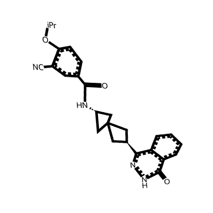 CC(C)Oc1ccc(C(=O)N[C@H]2CC3(C2)C[C@H](c2n[nH]c(=O)c4ccccc42)C3)cc1C#N